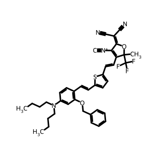 [C-]#[N+]C1=C(/C=C/c2ccc(/C=C/c3ccc(N(CCCC)CCCC)cc3OCc3ccccc3)s2)C(C)(C(F)(F)F)OC1=C(C#N)C#N